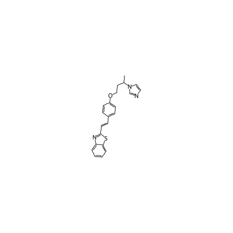 CC(CCOc1ccc(/C=C/c2nc3ccccc3s2)cc1)n1ccnc1